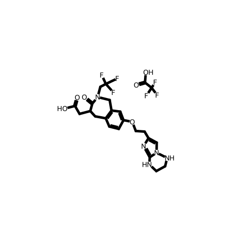 O=C(O)C(F)(F)F.O=C(O)CC1Cc2ccc(OCCc3cn4c(n3)NCCN4)cc2CN(CC(F)(F)F)C1=O